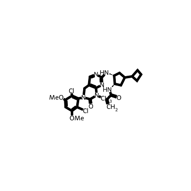 C=CC(=O)N[C@H]1CC(C2CCC2)C[C@H]1Nc1ncc2c(n1)N(C)C(=O)N(c1c(Cl)c(OC)cc(OC)c1Cl)C2